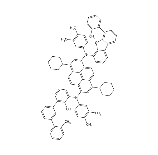 Cc1ccc(N(c2cccc(-c3cccc(-c4ccccc4C)c3)c2O)c2cc(C3CCCCC3)c3ccc4c(N(c5ccc(C)c(C)c5)c5cccc6c5oc5c(-c7ccccc7C)cccc56)cc(C5CCCCC5)c5ccc2c3c54)cc1C